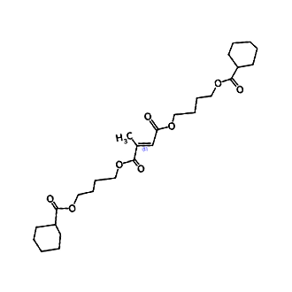 C/C(=C\C(=O)OCCCCOC(=O)C1CCCCC1)C(=O)OCCCCOC(=O)C1CCCCC1